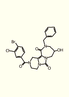 O=C(c1ccc(Br)c(Cl)c1)N1CCn2c(c3n(c2=O)CC(O)CN(Cc2ccccc2)C3=O)C1